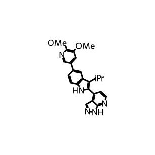 COc1cc(-c2ccc3[nH]c(-c4ccnc5[nH]ncc45)c(C(C)C)c3c2)cnc1OC